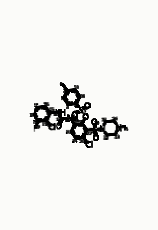 Cc1ccc(S(=O)(=O)Oc2c(NC(=O)Nc3cccc(F)c3Cl)ccc(Cl)c2S(=O)(=O)N2CCN(C)CC2)cc1